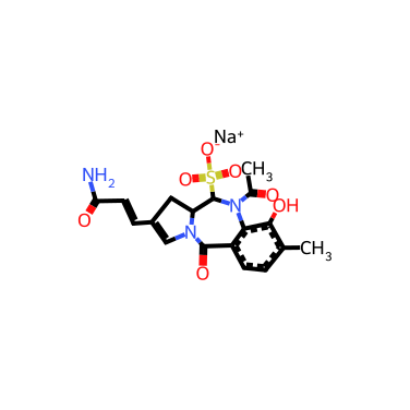 CC(=O)N1c2c(ccc(C)c2O)C(=O)N2C=C(C=CC(N)=O)CC2C1S(=O)(=O)[O-].[Na+]